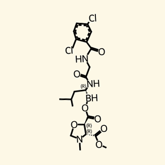 COC(=O)[C@H]1[C@H](C(=O)OB[C@H](CC(C)C)NC(=O)CNC(=O)c2cc(Cl)ccc2Cl)OCN1C